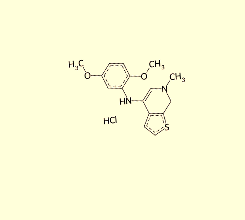 COc1ccc(OC)c(NC2=CN(C)Cc3sccc32)c1.Cl